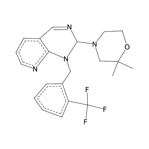 CC1(C)CN(C2N=Cc3cccnc3N2Cc2ccccc2C(F)(F)F)CCO1